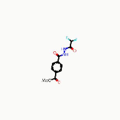 COC(=O)c1ccc(C(=O)NNC(=O)C(F)F)cc1